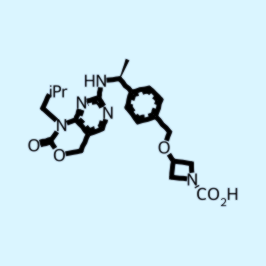 CC(C)CN1C(=O)OCc2cnc(N[C@@H](C)c3ccc(COC4CN(C(=O)O)C4)cc3)nc21